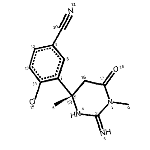 CN1C(=N)N[C@](C)(c2cc(C#N)ccc2Cl)CC1=O